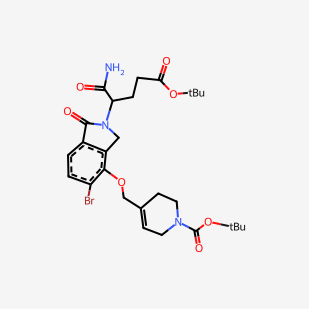 CC(C)(C)OC(=O)CCC(C(N)=O)N1Cc2c(ccc(Br)c2OCC2=CCN(C(=O)OC(C)(C)C)CC2)C1=O